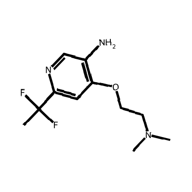 CN(C)CCOc1cc(C(C)(F)F)ncc1N